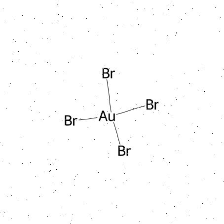 [Br][Au]([Br])([Br])[Br]